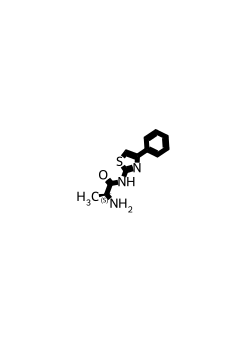 C[C@H](N)C(=O)Nc1nc(-c2ccccc2)cs1